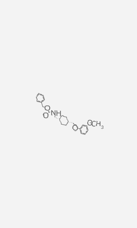 COc1cccc(OC[C@H]2CC[C@@H](CNC(=O)OCc3ccccc3)CC2)c1